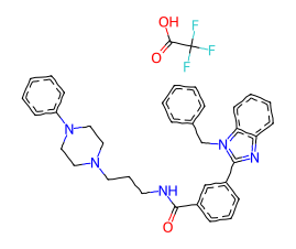 O=C(NCCCN1CCN(c2ccccc2)CC1)c1cccc(-c2nc3ccccc3n2Cc2ccccc2)c1.O=C(O)C(F)(F)F